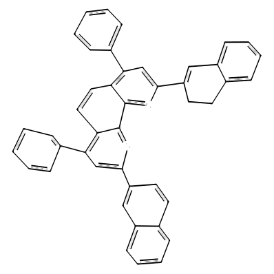 C1=C(c2cc(-c3ccccc3)c3ccc4c(-c5ccccc5)cc(-c5ccc6ccccc6c5)nc4c3n2)CCc2ccccc21